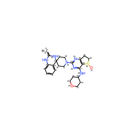 C=C1Nc2ccccc2C2(CCN(c3nc4c(c(NC5CCOCC5)n3)[S+]([O-])CC4)CC2)N1